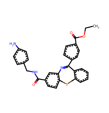 CCOC(=O)c1ccc(C2=Nc3cc(C(=O)NCc4ccc(N)cc4)ccc3Sc3ccccc32)cc1